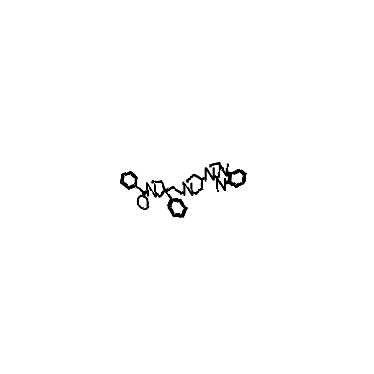 O=C(c1ccccc1)N1CCC(CCN2CCC(N3CCn4c3nc3ccccc34)CC2)(c2ccccc2)C1